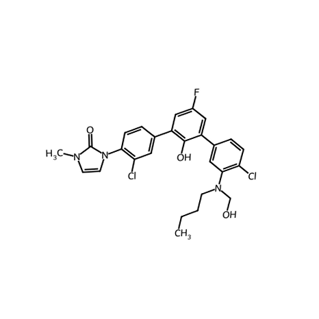 CCCCN(CO)c1cc(-c2cc(F)cc(-c3ccc(-n4ccn(C)c4=O)c(Cl)c3)c2O)ccc1Cl